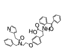 O=C(c1ccccc1)c1ccccc1NC(Cc1ccc(OCCN(Cc2ccccc2)C(=O)Cc2cccnc2)cc1)C(=O)O